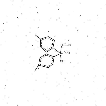 CCOP(O)(O)(c1ccc(C)cc1)c1ccc(C)cc1